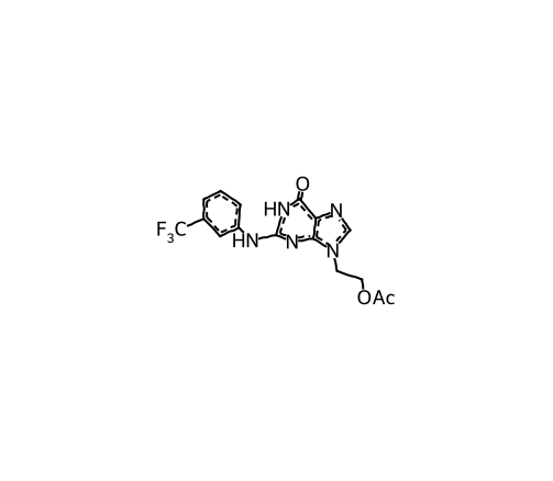 CC(=O)OCCn1cnc2c(=O)[nH]c(Nc3cccc(C(F)(F)F)c3)nc21